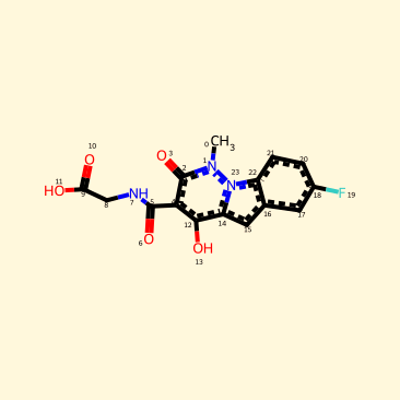 Cn1c(=O)c(C(=O)NCC(=O)O)c(O)c2cc3cc(F)ccc3n21